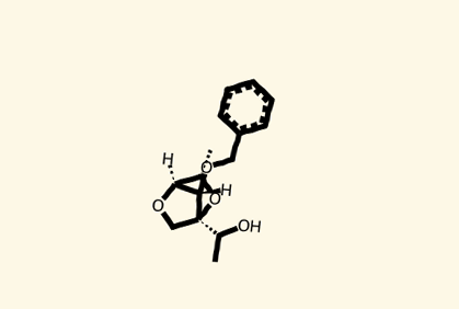 CC(O)[C@@]12CO[C@@H]([C@H](C)O1)[C@@H]2OCc1ccccc1